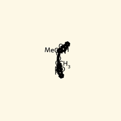 COc1cc2c(cc1OCCOCCOc1cc3c(cc1C)C(=O)N1Cc4ccccc4C[C@H]1C=N3)N=C[C@@H]1Cc3ccccc3CN1C2=O